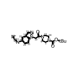 CC(C)(C)OC(=O)N1CCN(C(=O)Cn2ncc3cc(N=[N+]=[N-])ccc32)CC1